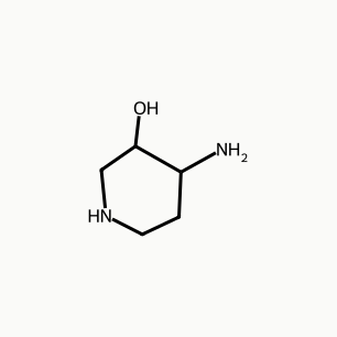 NC1CCNCC1O